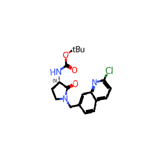 CC(C)(C)OC(=O)N[C@H]1CCN(Cc2ccc3ccc(Cl)nc3c2)C1=O